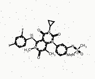 CN[S@@](C)(=O)=Nc1cccc(-n2c(=O)n(C3CC3)c(=O)c3c(Nc4ccc(I)cc4F)n(C)c(=O)c(C)c32)c1